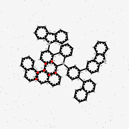 c1ccc(N(c2ccc(-c3cccc4ccccc34)cc2)c2ccc(-c3cccc4ccccc34)c(-c3ccc4oc5ccccc5c4c3)c2)c(-c2cc(-c3cccc4ccccc34)ccc2-n2c3ccccc3c3ccccc32)c1